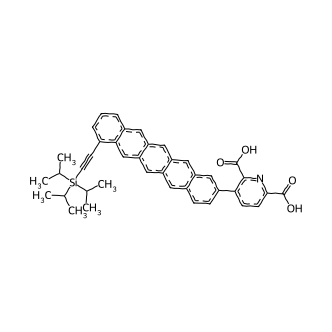 CC(C)[Si](C#Cc1cccc2cc3cc4cc5cc(-c6ccc(C(=O)O)nc6C(=O)O)ccc5cc4cc3cc12)(C(C)C)C(C)C